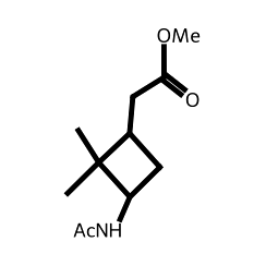 COC(=O)CC1CC(NC(C)=O)C1(C)C